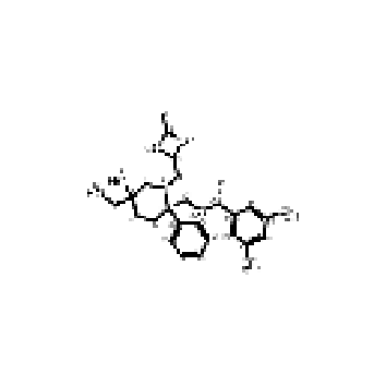 CC1OC(CN2CC(O)(CO)CC[C@@]2(CO[C@H](C)c2cc(C(F)(F)F)cc(C(F)(F)F)c2)c2ccccc2)O1